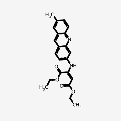 CCOC(=O)C=C(Nc1ccc2cc3cc(C)ccc3nc2c1)C(=O)OCC